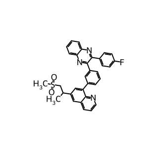 CC(CS(C)(=O)=O)c1cc(-c2cccc(-c3nc4ccccc4nc3-c3ccc(F)cc3)c2)c2ncccc2c1